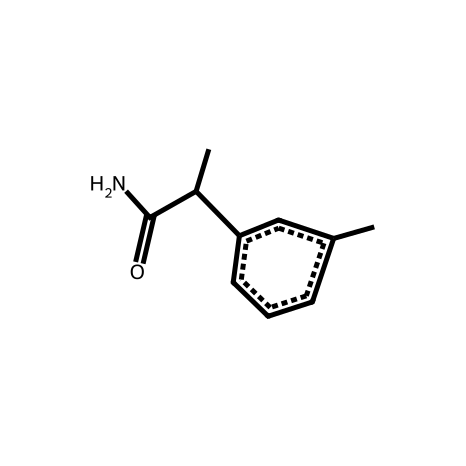 Cc1cccc(C(C)C(N)=O)c1